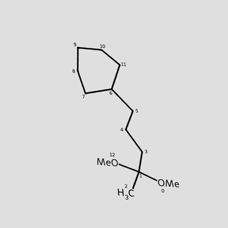 COC(C)(CCCC1CCCCC1)OC